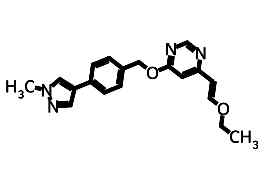 CCO/C=C/c1cc(OCc2ccc(-c3cnn(C)c3)cc2)ncn1